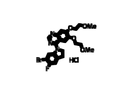 COCCOc1cc2ncnc(N3CCc4cc(F)c(Br)cc43)c2cc1OCCOC.Cl